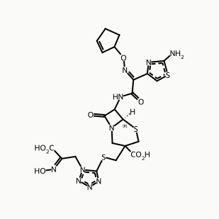 Nc1nc(C(=NOC2C=CCC2)C(=O)NC2C(=O)N3CC(CSc4nnnn4CC(=NO)C(=O)O)(C(=O)O)CS[C@H]23)cs1